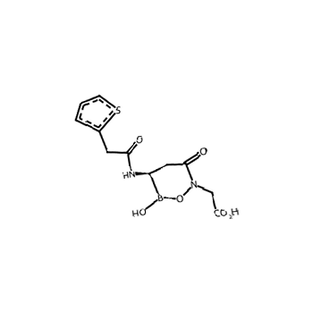 O=C(O)CN1OB(O)[C@@H](NC(=O)Cc2cccs2)CC1=O